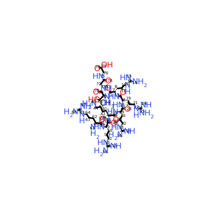 C[C@@H](O)[C@H](NC(=O)[C@H](CCCNC(=N)N)NC(=O)[C@H](CCCNC(=N)N)NC(=O)[C@H](CCCNC(=N)N)NC(=O)[C@H](CCCCN)NC(=O)[C@H](CCCNC(=N)N)NC(=O)[C@@H](N)CCCNC(=N)N)C(=O)NCC(=O)NCC(=O)O